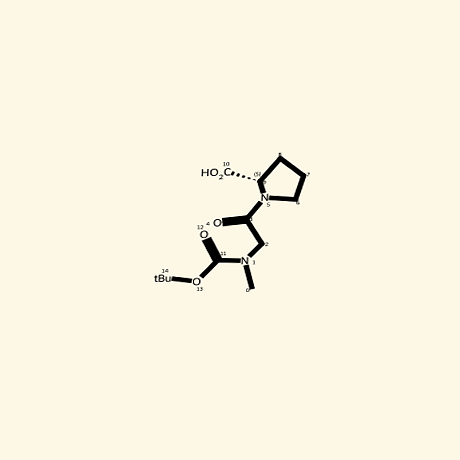 CN(CC(=O)N1CCC[C@H]1C(=O)O)C(=O)OC(C)(C)C